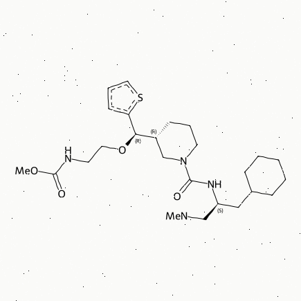 CNC[C@H](CC1CCCCC1)NC(=O)N1CCC[C@@H]([C@@H](OCCNC(=O)OC)c2cccs2)C1